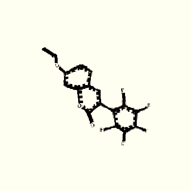 C=COc1ccc2cc(-c3c(F)c(F)c(F)c(F)c3F)c(=O)oc2c1